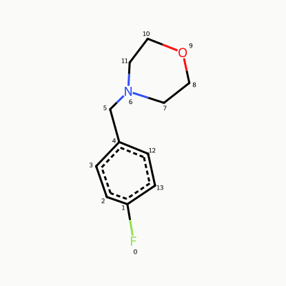 Fc1ccc(CN2CCOCC2)cc1